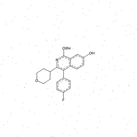 COc1nc(C2CCOCC2)c(-c2ccc(F)cc2)c2ccc(O)cc12